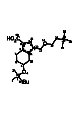 CC(C)(C)[Si](C)(C)OC1CCc2c(C(=O)O)nn(COCC[Si](C)(C)C)c2C1